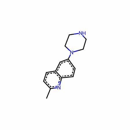 Cc1ccc2cc(N3CCNCC3)ccc2n1